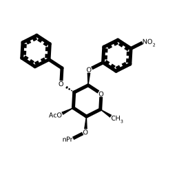 CCCO[C@H]1[C@@H](OC(C)=O)[C@H](OCc2ccccc2)[C@@H](Oc2ccc([N+](=O)[O-])cc2)O[C@H]1C